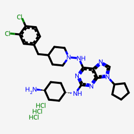 Cl.Cl.Cl.N[C@H]1CC[C@H](Nc2nc(NN3CCC(Cc4ccc(Cl)c(Cl)c4)CC3)c3ncn(C4CCCC4)c3n2)CC1